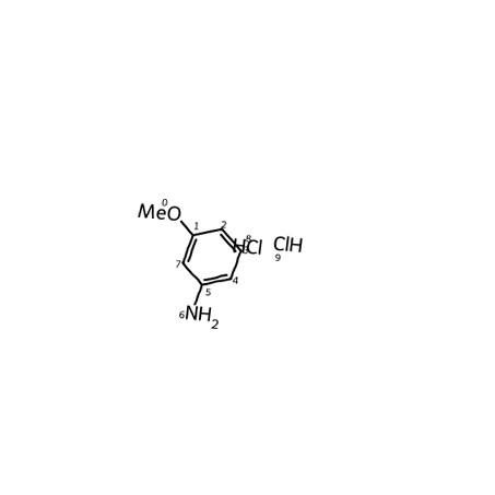 COc1cccc(N)c1.Cl.Cl